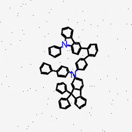 c1ccc(-c2ccc(N(c3ccc(-c4ccccc4-c4ccc5c(c4)c4ccccc4n5-c4ccccc4)cc3)c3ccc4c(c3)C(c3ccccc3)(c3ccccc3)c3ccccc3-4)cc2)cc1